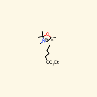 CCOC(=O)CCCC[C@H]1[C@@H](C)OC(C)(C)N1C